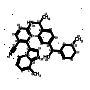 Cc1cccn2c(-c3nc(N[C@@H](C)c4ccc(C(O)C5=CCCN(C)C5)cc4)ncc3C#N)cnc12